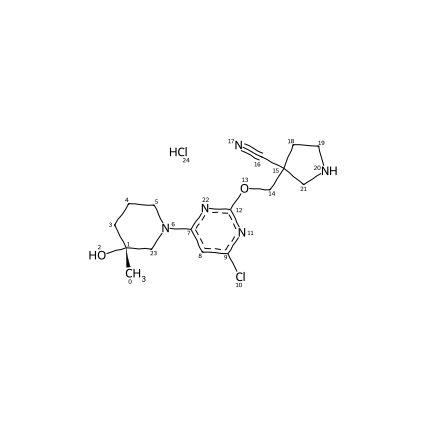 C[C@@]1(O)CCCN(c2cc(Cl)nc(OCC3(C#N)CCNC3)n2)C1.Cl